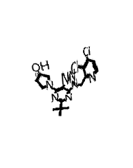 CC(C)(C)c1nc(N2CC[C@H](O)C2)c2nnn(Cc3nccc(Cl)c3Cl)c2n1